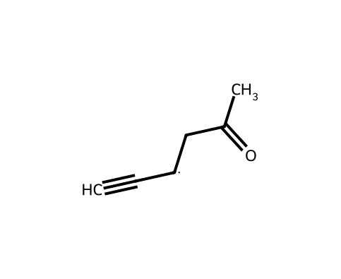 C#C[CH]CC(C)=O